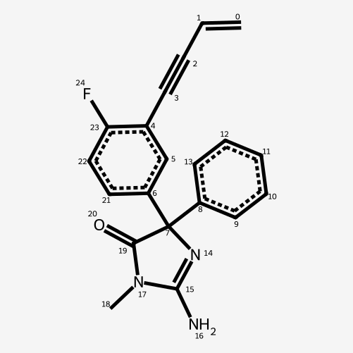 C=CC#Cc1cc(C2(c3ccccc3)N=C(N)N(C)C2=O)ccc1F